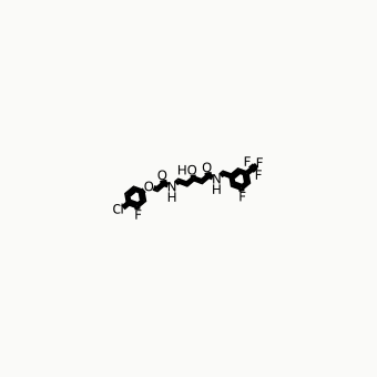 O=C(COc1ccc(Cl)c(F)c1)NCCC(O)CC(=O)NCc1cc(F)cc(C(F)(F)F)c1